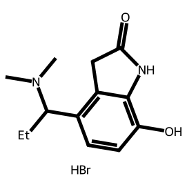 Br.CCC(c1ccc(O)c2c1CC(=O)N2)N(C)C